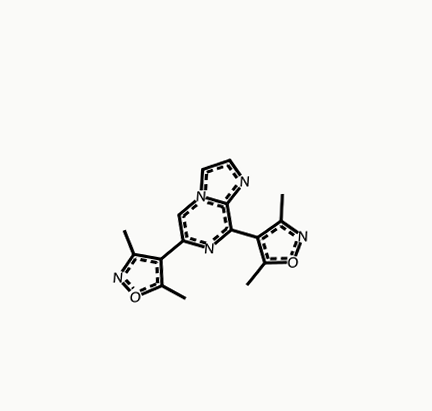 Cc1noc(C)c1-c1cn2ccnc2c(-c2c(C)noc2C)n1